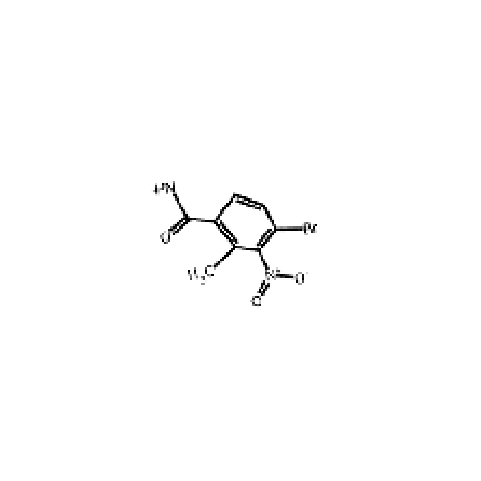 Cc1c(C([NH])=O)ccc(Br)c1[N+](=O)[O-]